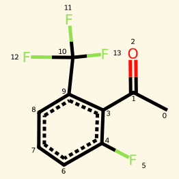 CC(=O)c1c(F)cccc1C(F)(F)F